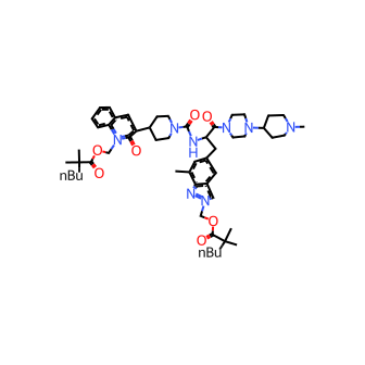 CCCCC(C)(C)C(=O)OCn1cc2cc(CC(NC(=O)N3CCC(c4cc5ccccc5n(COC(=O)C(C)(C)CCCC)c4=O)CC3)C(=O)N3CCN(C4CCN(C)CC4)CC3)cc(C)c2n1